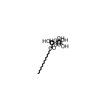 CCCCCCCCCCCCCCCCOC(=O)c1cc(O)ccc1O[C@@H]1O[C@H](CO)[C@@H](O)[C@H](O)[C@H]1O